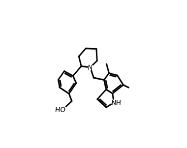 Cc1cc(C)c2[nH]ccc2c1CN1CCCCC1c1cccc(CO)c1